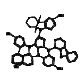 CC(C)(C)c1ccc(N2c3cc(C(C)(C)C)ccc3B3c4ccc(C(C)(C)C)cc4N(c4cccc5c4oc4ccccc45)c4cc(N5c6ccc(C(C)(C)C)cc6C6(C)CCCCC56C)cc2c43)c(-c2ccccc2)c1